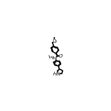 COCC1=CCC(C(=O)Nc2ccc(C3CCNC3)cc2)C=C1